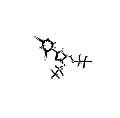 CC(C)(C)[Si](C)(C)OC[C@H]1OC(n2ccc(=O)[nH]c2=O)=C[C@@H]1O[Si](C)(C)C(C)(C)C